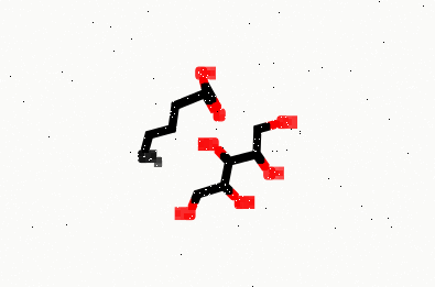 CCCCC(=O)O.OCC(O)C(O)C(O)CO